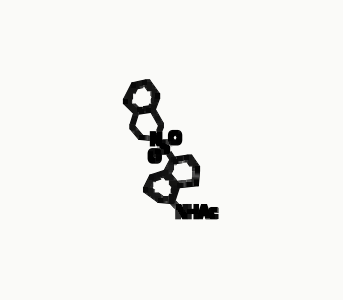 CC(=O)Nc1cccc2c(S(=O)(=O)N3CCc4ccccc4C3)cccc12